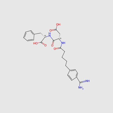 N=C(N)c1ccc(CCCCC(=O)N[C@@H](CC(=O)O)C(=O)N[C@@H](Cc2ccccc2)C(=O)O)cc1